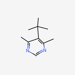 Cc1n[c]nc(C)c1C(C)(C)C